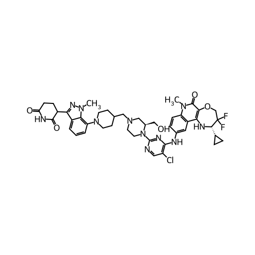 Cn1nc(C2CCC(=O)NC2=O)c2cccc(N3CCC(CN4CCN(c5ncc(Cl)c(Nc6ccc7c(c6)c6c(c(=O)n7C)OCC(F)(F)[C@H](C7CC7)N6)n5)[C@H](CO)C4)CC3)c21